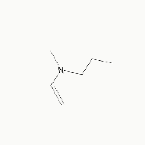 C=CN(C)CCC